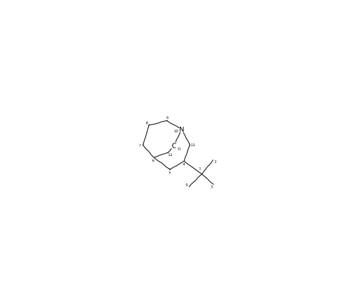 CC(C)(C)C1CC2CCCN(CC2)C1